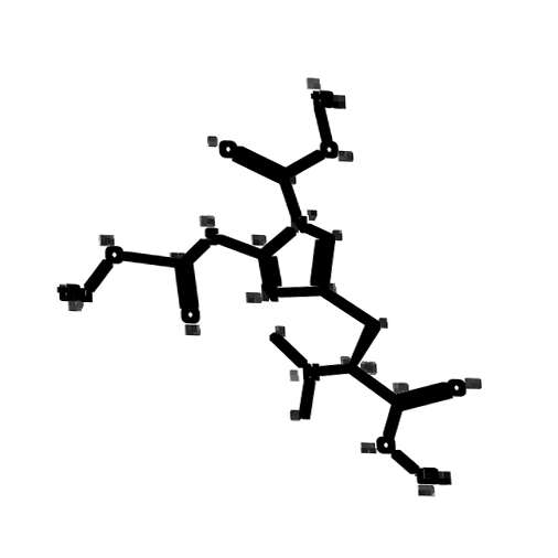 CN(C)[C@@H](Cc1cn(C(=O)OC(C)(C)C)c(SC(=O)OC(C)(C)C)n1)C(=O)OC(C)(C)C